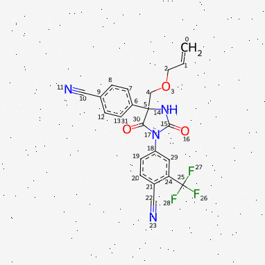 C=CCOCC1(c2ccc(C#N)cc2)NC(=O)N(c2ccc(C#N)c(C(F)(F)F)c2)C1=O